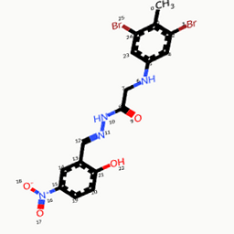 Cc1c(Br)cc(NCC(=O)N/N=C/c2cc([N+](=O)[O-])ccc2O)cc1Br